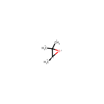 C[C@@H]1OC1(C)C